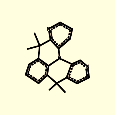 CC1(C)c2ccncc2N2c3cccnc3C(C)(C)c3cccc1c32